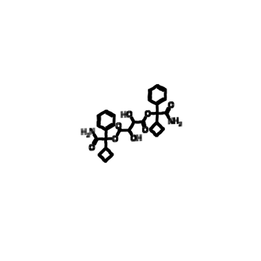 NC(=O)C(OC(=O)C(O)C(O)C(=O)OC(C(N)=O)(c1ccccc1)C1CCC1)(c1ccccc1)C1CCC1